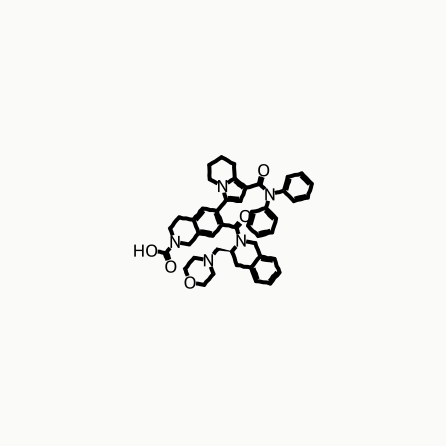 O=C(O)N1CCc2cc(-c3cc(C(=O)N(c4ccccc4)c4ccccc4)c4n3CCCC4)c(C(=O)N3Cc4ccccc4C[C@H]3CN3CCOCC3)cc2C1